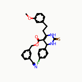 COc1cccc(CCC2=C(C(=O)OCc3cccc(C#N)c3)C(c3ccc(F)cc3)NC(=S)N2)c1